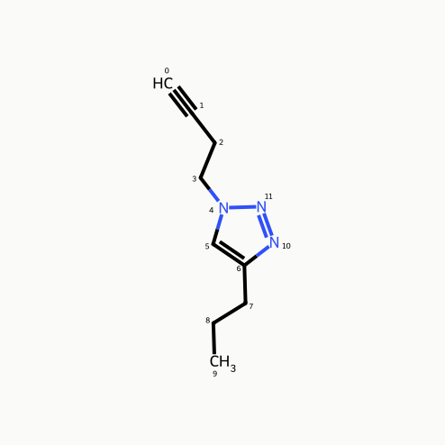 C#CCCn1cc(CCC)nn1